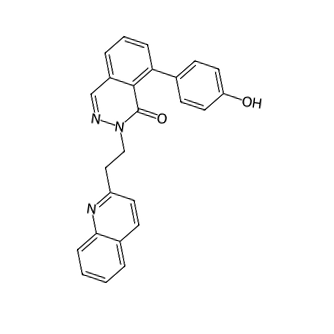 O=c1c2c(-c3ccc(O)cc3)cccc2cnn1CCc1ccc2ccccc2n1